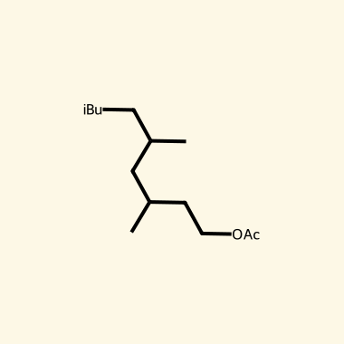 CCC(C)CC(C)CC(C)CCOC(C)=O